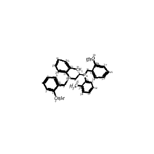 COc1ccccc1CP(CCP(Cc1ccccc1OC)c1ccccc1C)c1ccccc1C